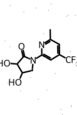 Cc1cc(C(F)(F)F)cc(N2CC(O)C(O)C2=O)n1